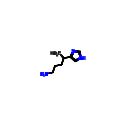 NCCCC(C(=O)O)c1c[nH]cn1